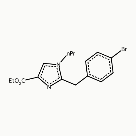 CCCn1cc(C(=O)OCC)nc1Cc1ccc(Br)cc1